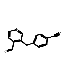 N#Cc1ccc(Cc2cnccc2C=O)cc1